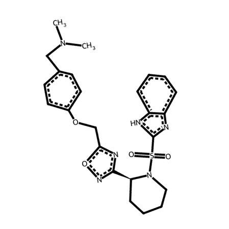 CN(C)Cc1ccc(OCc2nc([C@@H]3CCCCN3S(=O)(=O)c3nc4ccccc4[nH]3)no2)cc1